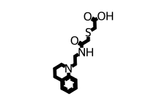 O=C(O)CSCC(=O)NCCN1CCCc2ccccc21